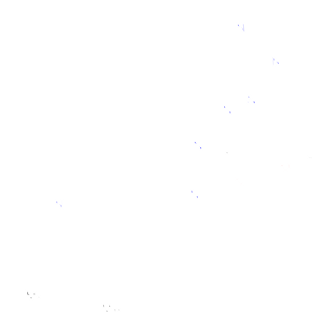 CCOc1cn(-c2cncn2C)nc1C(=O)Nc1ccc(Oc2ccnc3cc(OC)c(OC)cc23)cn1